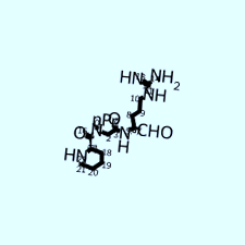 CCCN(CC(=O)N[C@H](C=O)CCCNC(=N)N)C(=O)[C@H]1CCCCN1